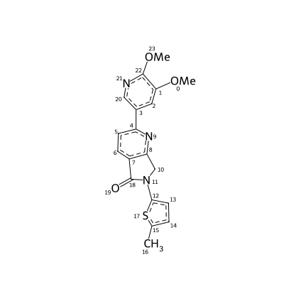 COc1cc(-c2ccc3c(n2)CN(c2ccc(C)s2)C3=O)cnc1OC